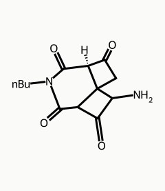 CCCCN1C(=O)C2C(=O)C(N)C23CC(=O)[C@@H]3C1=O